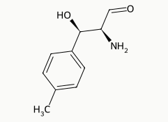 Cc1ccc([C@@H](O)[C@H](N)C=O)cc1